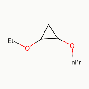 CCCOC1CC1OCC